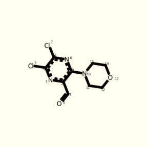 O=Cc1nc(Cl)c(Cl)nc1N1CCOCC1